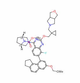 COCOc1cc(-c2ccc3c(N4C[C@H]5CC[C@@H](C4)N5C(=O)OC(C)(C)C)nc(OCC4(CN5CC6COCC6C5)CC4)nc3c2F)c2c3c(ccc2c1)CCC3